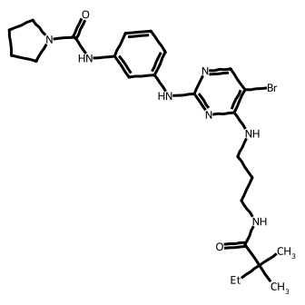 CCC(C)(C)C(=O)NCCCNc1nc(Nc2cccc(NC(=O)N3CCCC3)c2)ncc1Br